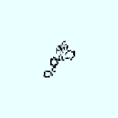 CCS(=O)(=O)N[C@@H]1CCCC[C@H]1COc1cccc(Oc2ccccc2)c1